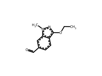 CCOc1nn(C)c2cc(C=O)ccc12